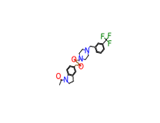 CC(=O)N1CCc2cc(S(=O)(=O)N3CCN(Cc4cccc(C(F)(F)F)c4)CC3)ccc21